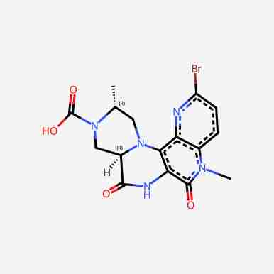 C[C@@H]1CN2c3c(c(=O)n(C)c4ccc(Br)nc34)NC(=O)[C@H]2CN1C(=O)O